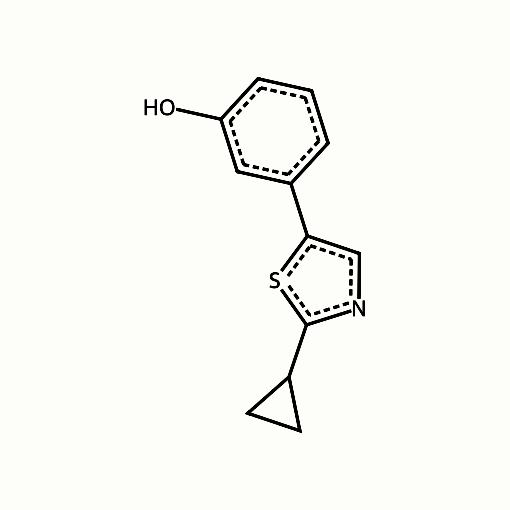 Oc1cccc(-c2cnc(C3CC3)s2)c1